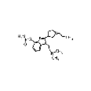 CCCN1CCC(c2nc3c(OC(N)=O)cccc3n2CCN(C)C)C1